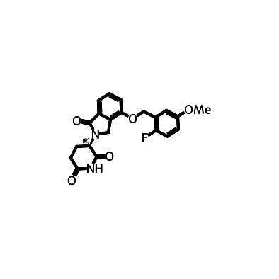 COc1ccc(F)c(COc2cccc3c2CN([C@@H]2CCC(=O)NC2=O)C3=O)c1